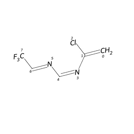 C=C(Cl)/N=C\N=C\C(F)(F)F